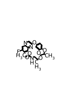 COC(=O)NCC(C)OC(=O)C(C)Oc1ccc(Oc2cnc3cc(F)ccc3n2)cc1